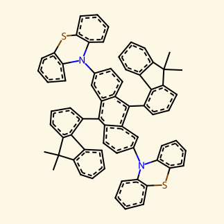 CC1(C)c2ccccc2-c2c(-c3c4ccc(N5c6ccccc6Sc6ccccc65)cc4c(-c4cccc5c4-c4ccccc4C5(C)C)c4ccc(N5c6ccccc6Sc6ccccc65)cc34)cccc21